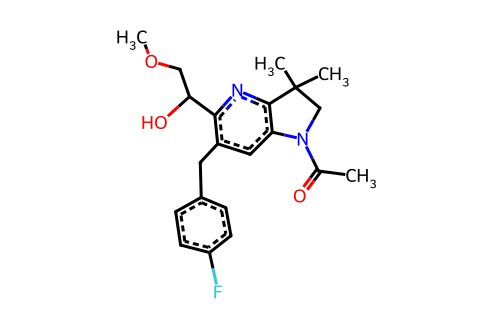 COCC(O)c1nc2c(cc1Cc1ccc(F)cc1)N(C(C)=O)CC2(C)C